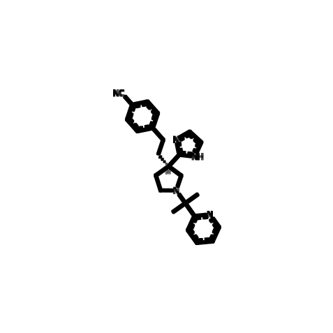 CC(C)(c1ccccn1)N1CC[C@@](CCc2ccc(C#N)cc2)(c2ncc[nH]2)C1